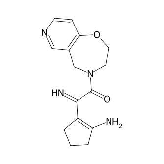 N=C(C(=O)N1CCOc2ccncc2C1)C1=C(N)CCC1